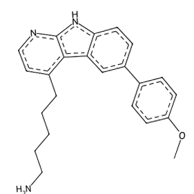 COc1ccc(-c2ccc3[nH]c4nccc(CCCCCN)c4c3c2)cc1